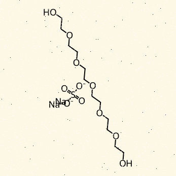 O=S(=O)([O-])[O-].OCCOCCOCCOCCOCCOCCO.[Na+].[Na+]